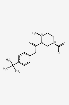 C[C@H]1CC[C@@H](C(=O)O)CN1C(=O)Cc1ccc(C(C)(C)C)cc1